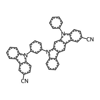 N#Cc1ccc2c(c1)c1ccccc1n2-c1cccc(-n2c3ccccc3c3cc4c5cc(C#N)ccc5n(-c5ccccc5)c4cc32)c1